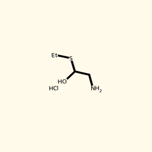 CCSC(O)CN.Cl